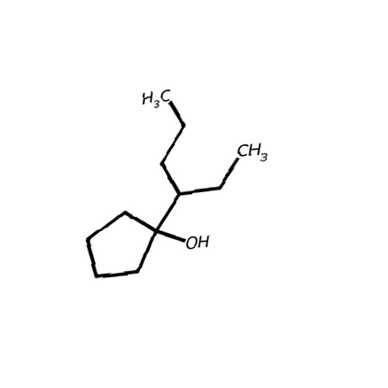 CCCC(CC)C1(O)CCCC1